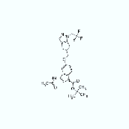 CC(=O)Nc1cn(C(=O)OC(C)(C)C)c2ccc(OCC3Cc4cnn(CC(F)(F)F)c4C3)cc12